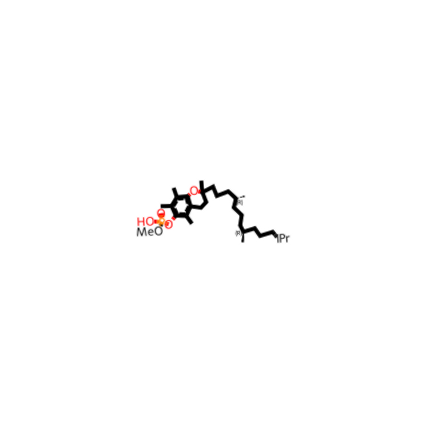 COP(=O)(O)Oc1c(C)c(C)c2c(c1C)CCC(C)(CCC[C@H](C)CCC[C@H](C)CCCC(C)C)O2